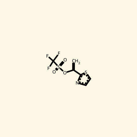 C=C(OS(=O)(=O)C(F)(F)F)c1nccs1